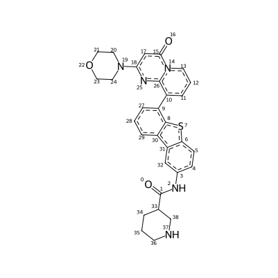 O=C(Nc1ccc2sc3c(-c4cccn5c(=O)cc(N6CCOCC6)nc45)cccc3c2c1)C1CCCNC1